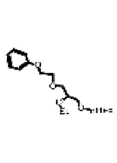 CCCCCCOCC(COCCOc1ccccc1)OCC